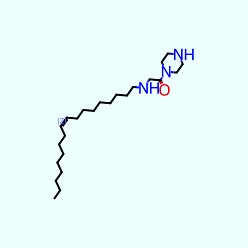 CCCCCCCC/C=C\CCCCCCCCNCC(=O)N1CCNCC1